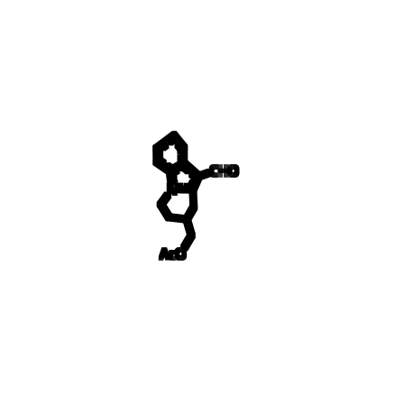 CC(=O)OCC1CCn2c(c(C=O)c3ccccc32)C1